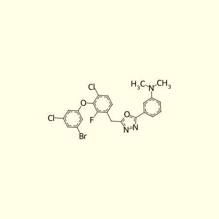 CN(C)c1cccc(-c2nnc(Cc3ccc(Cl)c(Oc4cc(Cl)cc(Br)c4)c3F)o2)c1